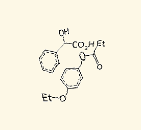 CCOc1ccc(OC(=O)CC)cc1.O=C(O)C(O)c1ccccc1